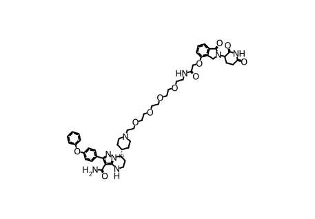 NC(=O)c1c(-c2ccc(Oc3ccccc3)cc2)nn2c1NCC[C@H]2C1CCN(CCOCCOCCOCCOCCNC(=O)COc2cccc3c2CN(C2CCC(=O)NC2=O)C3=O)CC1